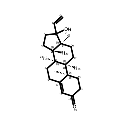 C=CC1(O)CC[C@H]2[C@@H]3CCC4=CC(=O)CC[C@]4(C)[C@@H]3CC[C@@]21C